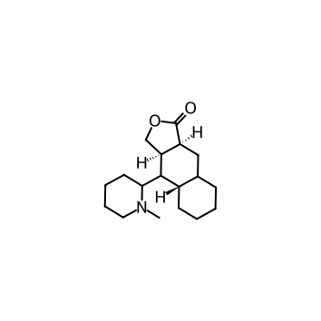 CN1CCCCC1C1[C@H]2CCCCC2C[C@@H]2C(=O)OC[C@H]12